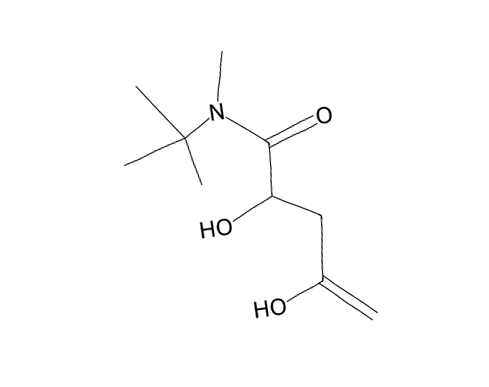 C=C(O)CC(O)C(=O)N(C)C(C)(C)C